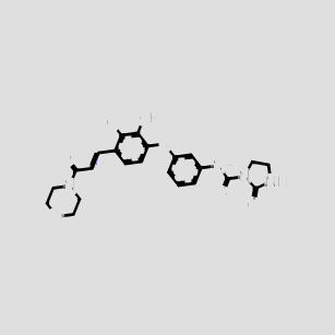 O=C(/C=C/c1ccc(Sc2cccc(NC(=O)N3CCNC3=O)c2)c(C(F)(F)F)c1C(F)(F)F)N1CCOCC1